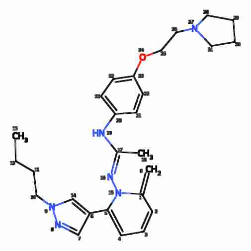 C=C1C=CC=C(c2cnn(CCCC)c2)N1/N=C(\C)Nc1ccc(OCCN2CCCC2)cc1